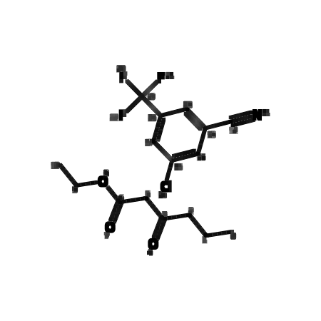 CCCC(=O)CC(=O)OCC.N#Cc1cc(Cl)cc(C(F)(F)F)c1